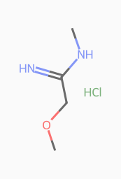 CNC(=N)COC.Cl